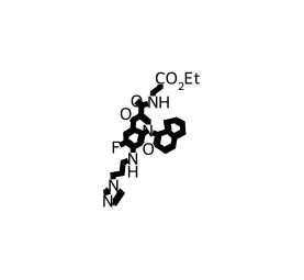 CCOC(=O)CCNC(=O)c1cn2c3c(c(NCCCn4ccnc4)c(F)cc3c1=O)Oc1ccc3ccccc3c1-2